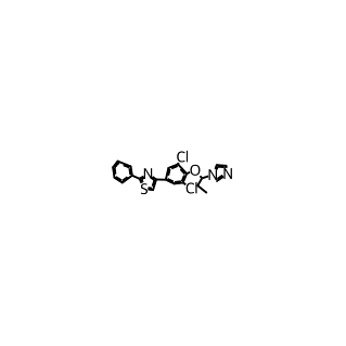 CCC(Oc1c(Cl)cc(-c2csc(-c3ccccc3)n2)cc1Cl)n1ccnc1